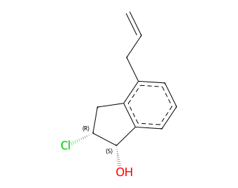 C=CCc1cccc2c1C[C@@H](Cl)[C@H]2O